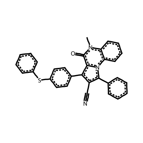 Cn1c(=O)c2c(-c3ccc(Sc4ccccc4)cc3)c(C#N)c(-c3ccccc3)n2c2ccccc21